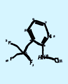 FC(F)(F)c1cccnc1NCl